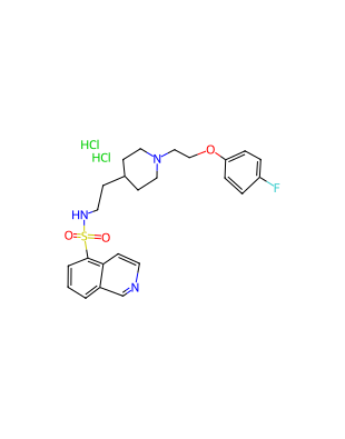 Cl.Cl.O=S(=O)(NCCC1CCN(CCOc2ccc(F)cc2)CC1)c1cccc2cnccc12